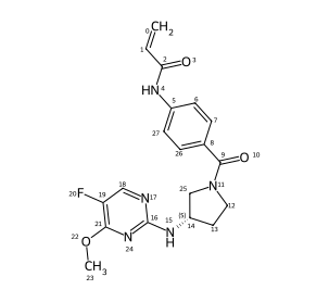 C=CC(=O)Nc1ccc(C(=O)N2CC[C@H](Nc3ncc(F)c(OC)n3)C2)cc1